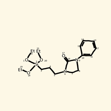 CCO[Si](CCCN1CCN(c2ccccc2)C1=O)(OCC)OCC